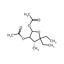 CCC1(CC)OC(OC(C)=O)C(OC(C)=O)[C@H]1C